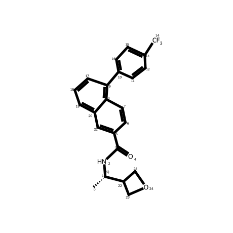 C[C@H](NC(=O)c1ccc2c(-c3ccc(C(F)(F)F)cc3)cccc2c1)C1COC1